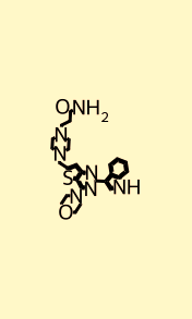 NC(=O)CCN1CCN(Cc2cc3nc(-c4c[nH]c5ccccc45)nc(N4CCOCC4)c3s2)CC1